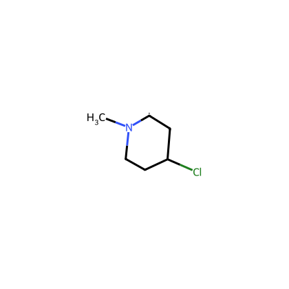 CN1[CH]CC(Cl)CC1